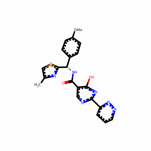 COc1ccc([C@H](NC(=O)c2cnc(-c3cccnn3)nc2O)c2nc(C)cs2)cc1